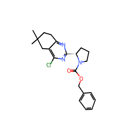 CC1(C)CCc2nc([C@@H]3CCCN3C(=O)OCc3ccccc3)nc(Cl)c2C1